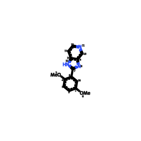 COc1ccc(OC)c(-c2nc3cnccc3[nH]2)c1